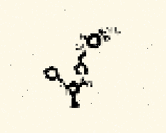 NS(=O)(=O)c1ccc([S+]([O-])CCC2CCN(C(=O)c3cc(OOC4CCCCC4)nc(C4CC4)c3)CC2)c(F)c1